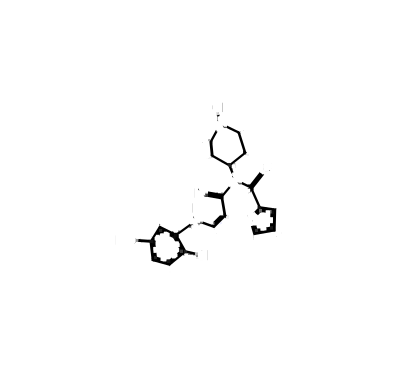 CN1CCC(N(C(=N)/C=C\Nc2cc(O)ccc2Cl)C(=O)c2cccs2)CC1